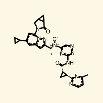 Cc1ccnc([C@H]2C[C@@H]2C(=O)Nc2nncc([NH+]([O-])[C@H](C)c3cc4cc(C5CC5)cc(N5CC6CC6C5=O)n4n3)n2)n1